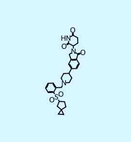 O=C1CCC(N2Cc3cc(C4CCN(Cc5ccccc5S(=O)(=O)C5CCC6(CC6)C5)CC4)ccc3C2=O)C(=O)N1